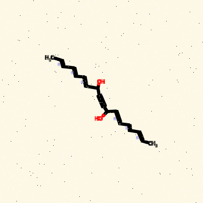 C/C=C/C=C/C=C/C(O)C#CC(O)/C=C/C=C/C=C/C